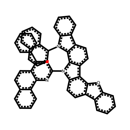 c1ccc(-c2nc(-n3c4ccc5c6ccccc6oc5c4c4ccc5c6ccccc6n(-c6cccc7ccccc67)c5c43)nc3c2ccc2ccccc23)cc1